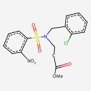 COC(=O)CCN(Cc1ccccc1Cl)S(=O)(=O)c1ccccc1[N+](=O)[O-]